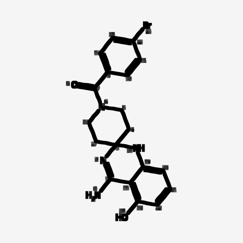 NC1=NC2(CCN(C(=O)c3ccc(Br)cc3)CC2)Nc2cccc(O)c21